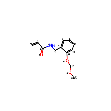 C=CC(=O)NCc1ccccc1OCOCC